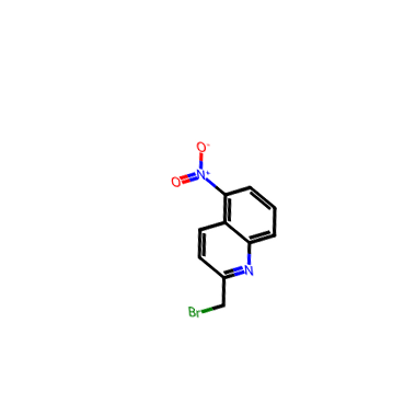 O=[N+]([O-])c1cccc2nc(CBr)ccc12